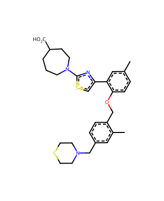 Cc1ccc(OCc2ccc(CN3CCSCC3)cc2C)c(-c2csc(N3CCCC(C(=O)O)CC3)n2)c1